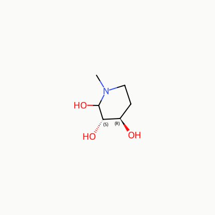 CN1CC[C@@H](O)[C@H](O)C1O